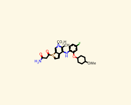 COC1CCC(Oc2cc(F)ccc2NC2=C(C)N(C(=O)O)C=C3C2=CC=S3C(=O)CC(N)=O)CC1